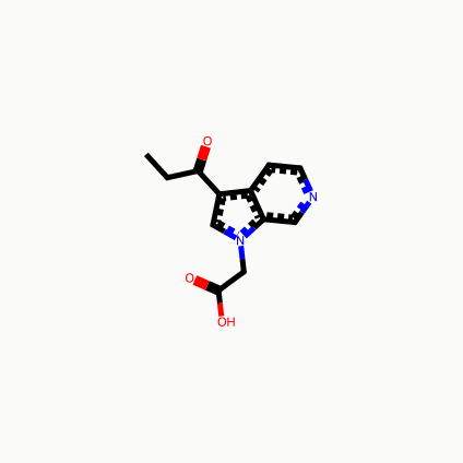 CCC(=O)c1cn(CC(=O)O)c2cnccc12